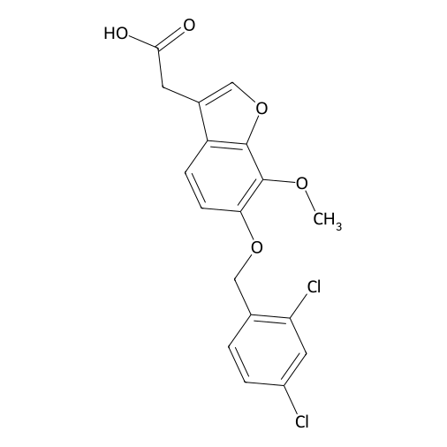 COc1c(OCc2ccc(Cl)cc2Cl)ccc2c(CC(=O)O)coc12